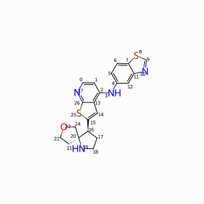 c1cc(Nc2ccc3scnc3c2)c2cc([C@H]3CCN[C@]34CCOC4)sc2n1